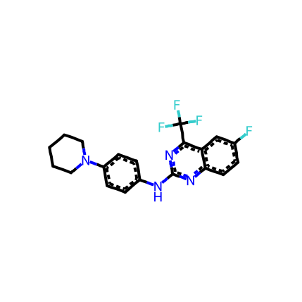 Fc1ccc2nc(Nc3ccc(N4CCCCC4)cc3)nc(C(F)(F)F)c2c1